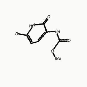 CC(C)(C)OC(=O)Nc1ccc(Cl)[nH]c1=O